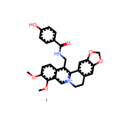 COc1ccc2c(CNC(=O)c3ccc(O)cc3)c3[n+](cc2c1OC)CCc1cc2c(cc1-3)OCO2.[I-]